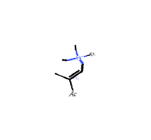 CC[N+](C)(C)/C=C(\C)C(C)=O